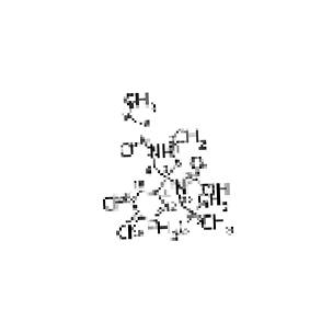 C=CCC(CNC(=O)CCC)(c1ccc(Cl)c(Cl)c1)N(CC(C)(C)C)C(=O)O